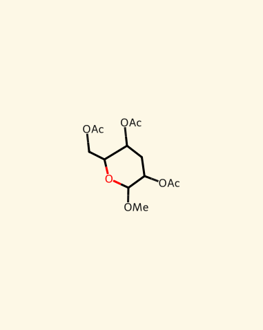 COC1OC(COC(C)=O)C(OC(C)=O)CC1OC(C)=O